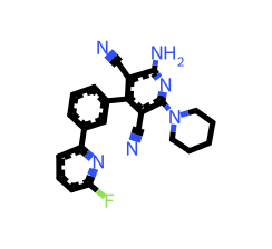 N#Cc1c(N)nc(N2CCCCC2)c(C#N)c1-c1cccc(-c2cccc(F)n2)c1